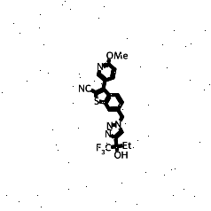 CCC(O)(c1cn(Cc2ccc3c(-c4ccc(OC)nc4)c(C#N)sc3c2)nn1)C(F)(F)F